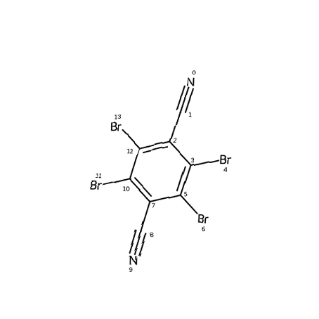 N#Cc1c(Br)c(Br)c(C#N)c(Br)c1Br